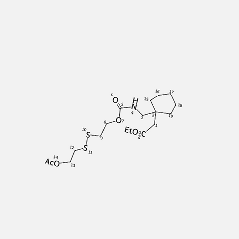 CCOC(=O)CC1(CNC(=O)OCCSSCCOC(C)=O)CCCCC1